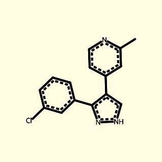 Cc1cc(-c2c[nH]nc2-c2cccc(Cl)c2)ccn1